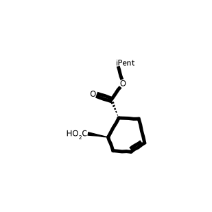 CCCC(C)OC(=O)[C@@H]1CC=CC[C@H]1C(=O)O